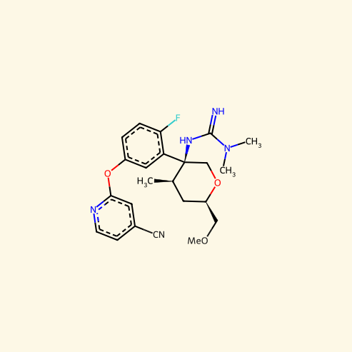 COC[C@H]1C[C@@H](C)[C@](NC(=N)N(C)C)(c2cc(Oc3cc(C#N)ccn3)ccc2F)CO1